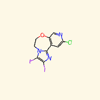 Clc1cc2c(cn1)OCCn1c-2nc(I)c1I